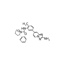 Cc1ccc(-c2ccn3nc(N)nc3c2)cc1NC(=O)N1OCCC[C@H]1c1ccccc1